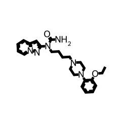 CCOc1ccccc1N1CCN(CCCCN(C(N)=O)c2cc3ccccn3n2)CC1